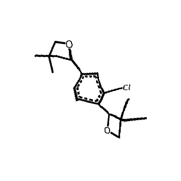 CC1(C)COC1c1ccc(C2OCC2(C)C)c(Cl)c1